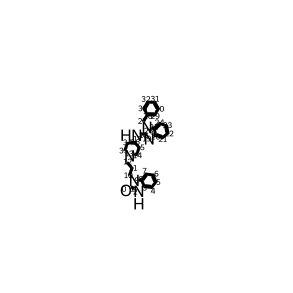 O=c1[nH]c2ccccc2n1CCCN1CCC(Nc2nc3ccccc3n2Cc2ccccc2)CC1